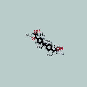 C=C(c1ccc(C(C)(C)c2ccc(C(=O)C(C)(C)O)cc2)cc1)C(C)(C)O